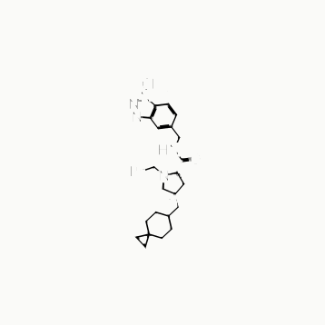 C[C](C)CN1C[C@H](CC2CCC3(CC2)CC3)C[C@H]1C(=O)NCc1ccc2c(c1)nnn2C